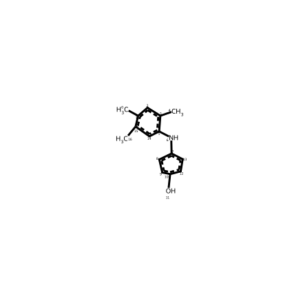 Cc1cc(C)c(Nc2ccc(O)cc2)cc1C